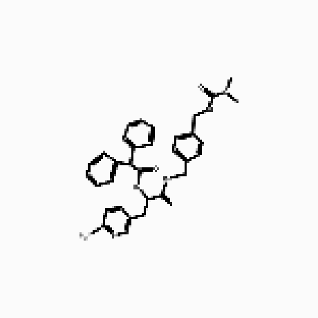 CN(C)C(=O)NCc1ccc(CNC(=O)C(Cc2ccc(N)nc2)NC(=O)C(c2ccccc2)c2ccccc2)cc1